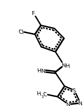 Cc1nnsc1C(=N)Nc1ccc(F)c(Cl)c1